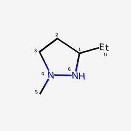 CCC1CCN(C)N1